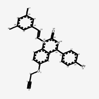 C#CCOc1ccc2c(c1)c(-c1ccc(C(C)C)cc1)nc(=O)n2C=Cc1cc(C)cc(C)c1